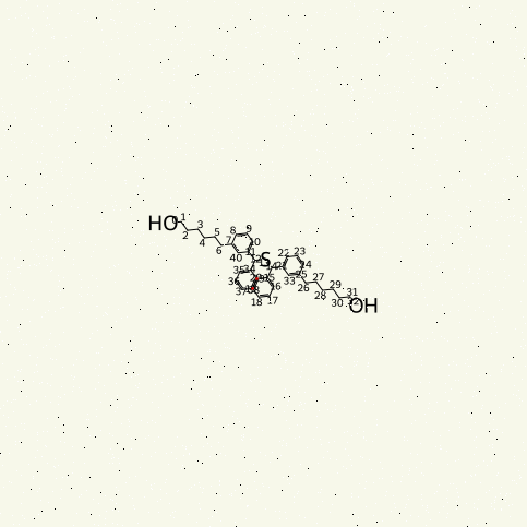 OCCCCCCc1cccc(C(SC(c2ccccc2)c2cccc(CCCCCCO)c2)c2ccccc2)c1